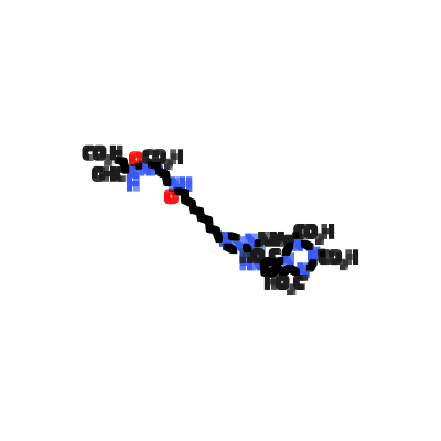 CNc1nc(Nc2ccc(CC3CN(CC(=O)O)CCN(CC(=O)O)CCN(CC(=O)O)CCN3CC(=O)O)cc2)nc(N2CCN(CCCCCCCCCCC(=O)NCCCC[C@H](NC(=O)N[C@H](C=O)CCC(=O)O)C(=O)O)CC2)n1